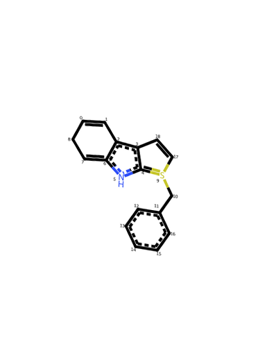 C1=Cc2c3c([nH]c2=CC1)=S(Cc1ccccc1)C=C3